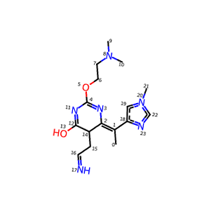 C/C(=C1/N=C(OCCN(C)C)N=C(O)C1CC=N)c1cn(C)cn1